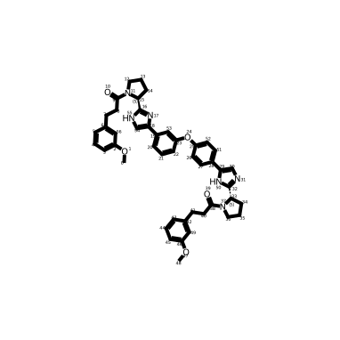 COc1cccc(CCC(=O)N2CCC[C@H]2c2nc(-c3cccc(Oc4ccc(-c5cnc([C@@H]6CCCN6C(=O)CCc6cccc(OC)c6)[nH]5)cc4)c3)c[nH]2)c1